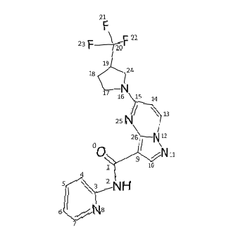 O=C(Nc1ccccn1)c1cnn2ccc(N3CCC(C(F)(F)F)C3)nc12